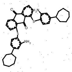 Nc1cc(C2CCCCCC2)ccc1Sc1cccc2c1C(=O)c1c(Sc3ccc(C4CCCCCC4)cc3N)cccc1C2=O